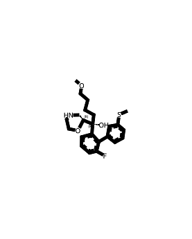 COCCCC[C@@](O)(c1cccc(F)c1-c1cccc(SC)c1)[C@H]1CNCCO1